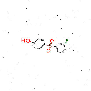 O=S(=O)(c1c[c]c(O)cc1)c1cccc(F)c1